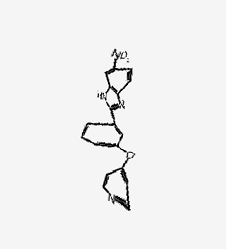 O=[N+]([O-])c1ccc2nc(-c3[c]ccc(Oc4ccncc4)c3)[nH]c2c1